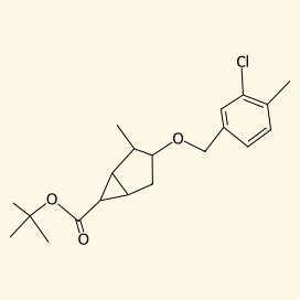 Cc1ccc(COC2CC3C(C(=O)OC(C)(C)C)C3C2C)cc1Cl